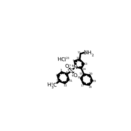 Cc1ccc(S(=O)(=O)n2cc(CN)cc2-c2ccccc2)cc1.Cl